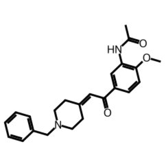 COc1ccc(C(=O)C=C2CCN(Cc3ccccc3)CC2)cc1NC(C)=O